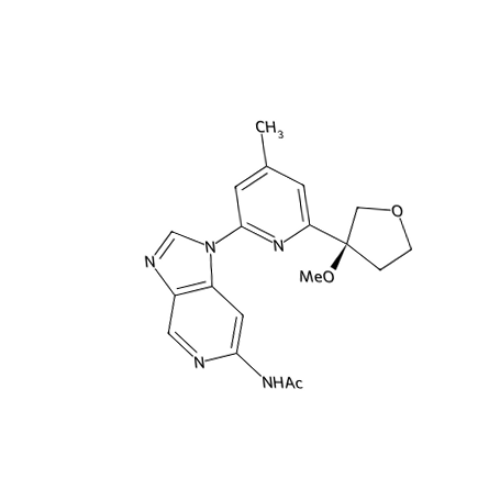 CO[C@]1(c2cc(C)cc(-n3cnc4cnc(NC(C)=O)cc43)n2)CCOC1